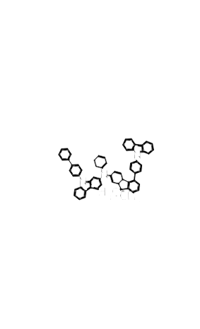 CC1(C)c2cccc(-c3ccc(-n4c5ccccc5c5ccccc54)cc3)c2C2C=CC(N(C3=CC=CCC3)c3ccc4c5ccccc5n(-c5ccc(-c6ccccc6)cc5)c4c3)=CC21